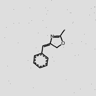 CC1=NC(=Cc2ccccc2)CO1